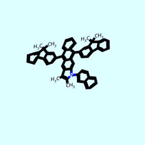 Cc1c(C)n(-c2ccc3ccccc3c2)c2cc3c(-c4ccc5c(c4)C(C)(C)c4ccccc4-5)c4ccccc4c(-c4ccc5c(c4)C(C)(C)c4ccccc4-5)c3cc12